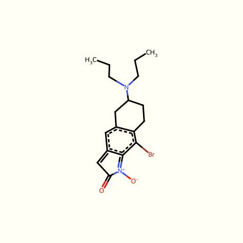 CCCN(CCC)C1CCc2c(cc3c(c2Br)=[N+]([O-])C(=O)C=3)C1